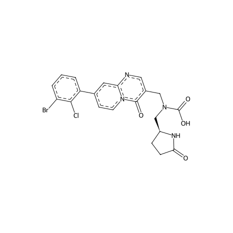 O=C1CC[C@@H](CN(Cc2cnc3cc(-c4cccc(Br)c4Cl)ccn3c2=O)C(=O)O)N1